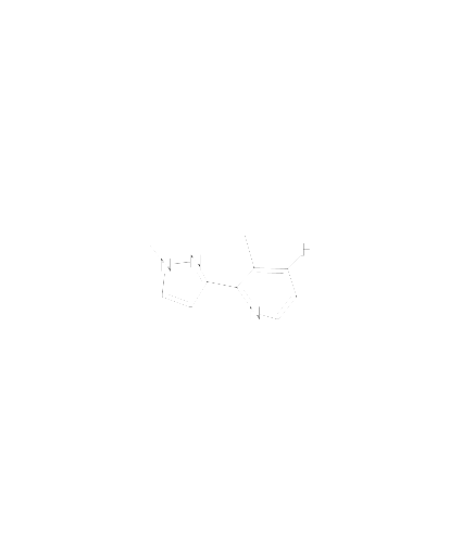 Cc1c(F)ccnc1-c1ccn(C)n1